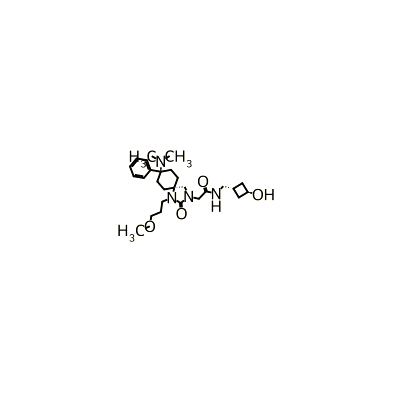 COCCCN1C(=O)N(CC(=O)NC[C@H]2C[C@H](O)C2)C[C@]12CC[C@](c1ccccc1)(N(C)C)CC2